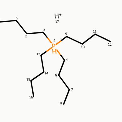 CCCC[PH](CCCC)(CCCC)CCCC.[H+]